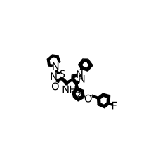 N/C(=C1/SC(N2CCCCC2)=NC1=O)c1cn(-c2ccccc2)nc1-c1cccc(OCc2ccc(F)cc2)c1